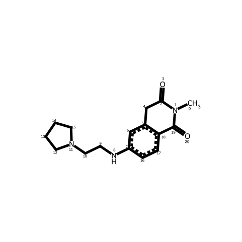 CN1C(=O)Cc2cc(NCCN3CCCC3)ccc2C1=O